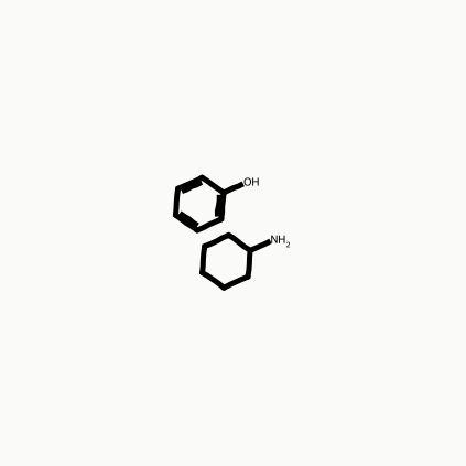 NC1CCCCC1.Oc1ccccc1